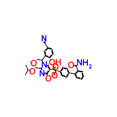 COCC(c1cccc(C#N)c1)n1c(COC(C)C)nc(=O)c(S(=O)(=O)c2ccc(-c3ccccc3C(N)=O)cc2)c1O